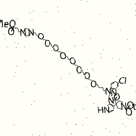 COC(=O)CCN1CCN(CCOCCOCCOCCOCCOCCOCCOCCOCCCCn2c(CN3C(=O)C4(CCN(C(=O)OC(C)(C)C)CC4)C4=C3CNC=C4)nc3cc(Cl)ccc32)CC1